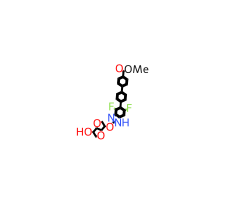 COC(=O)c1ccc(-c2ccc(-c3c(F)cc4[nH]c(O[C@H]5COC6C5OC[C@@H]6O)nc4c3F)cc2)cc1